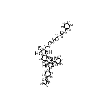 O=C(O)C(CCOCCOCCOCc1ccccc1)Nc1cccc(C(NCc2ccc(-c3nccs3)cc2)S(=O)(=O)c2ccccn2)n1